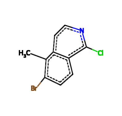 Cc1c(Br)ccc2c(Cl)nccc12